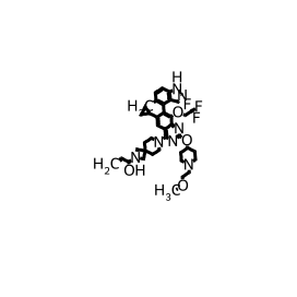 C=CC(O)N1CC2(CCN(c3nc(OC4CCN(CCOC)CC4)nc4c(OCC(F)(F)F)c(-c5c(C)ccc6[nH]ncc56)c(C5CC5)cc34)CC2)C1